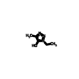 CCn1nnc(C)c1O